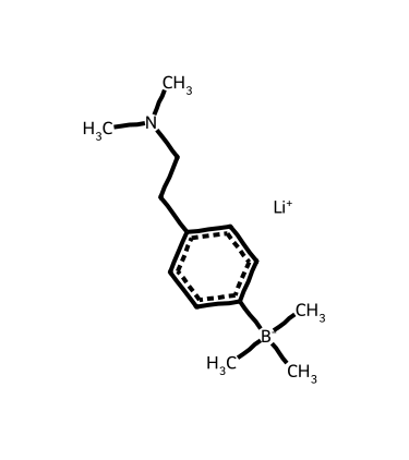 CN(C)CCc1ccc([B-](C)(C)C)cc1.[Li+]